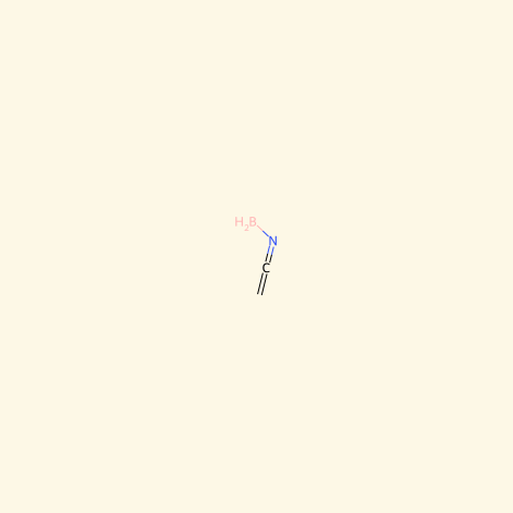 BN=C=C